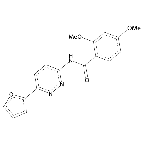 COc1ccc(C(=O)Nc2ccc(-c3ccco3)nn2)c(OC)c1